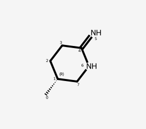 C[C@@H]1CCC(=N)NC1